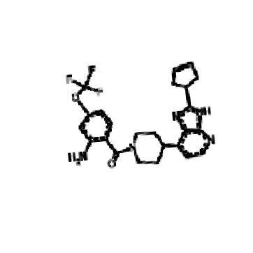 Nc1cc(OC(F)(F)F)ccc1C(=O)N1CCC(c2ccnc3[nH]c(C4CC=CC4)nc23)CC1